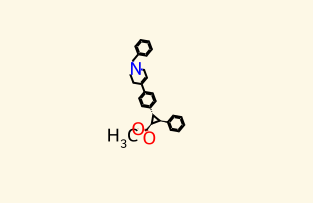 COC(=O)[C@@H]1[C@H](c2ccccc2)[C@H]1c1ccc(C2=CCN(Cc3ccccc3)CC2)cc1